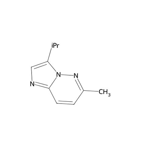 Cc1ccc2ncc(C(C)C)n2n1